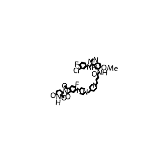 COc1cc2ncnc(Nc3ccc(F)c(Cl)c3)c2cc1NC(=O)/C=C/CN1CCC(CN2CCN(c3cc4c(cc3F)C(=O)N(C3CCC(=O)NC3=O)C4=O)CC2)CC1